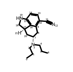 CCCN(CCC)[C@H]1Cc2c(C#N)ccc3c2[C@H](CN3)C1